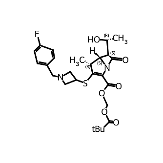 C[C@@H](O)[C@H]1C(=O)N2C(C(=O)OCOC(=O)C(C)(C)C)=C(SC3CN(Cc4ccc(F)cc4)C3)[C@H](C)[C@H]12